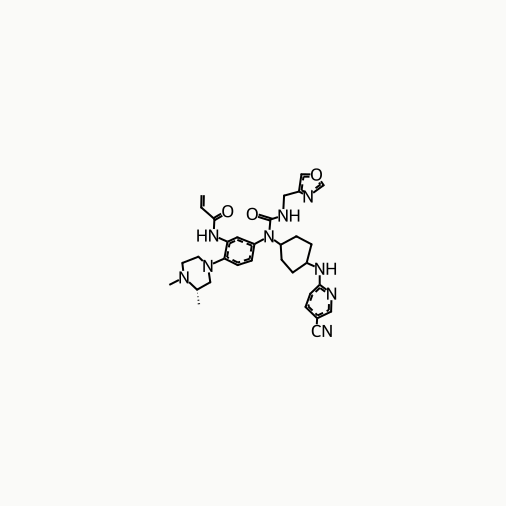 C=CC(=O)Nc1cc(N(C(=O)NCc2cocn2)C2CCC(Nc3ccc(C#N)cn3)CC2)ccc1N1CCN(C)[C@@H](C)C1